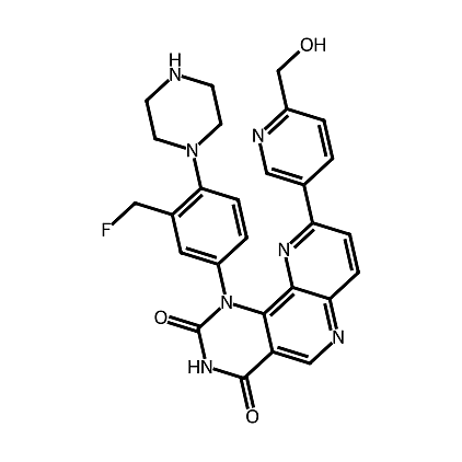 O=c1[nH]c(=O)n(-c2ccc(N3CCNCC3)c(CF)c2)c2c1cnc1ccc(-c3ccc(CO)nc3)nc12